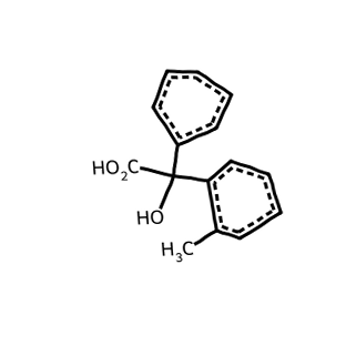 Cc1ccccc1C(O)(C(=O)O)c1ccccc1